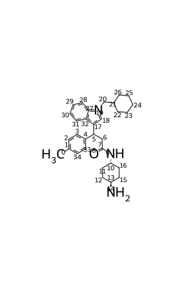 Cc1ccc(C(CC(=O)N[C@H]2CC[C@H](N)CC2)c2cn(CC3CCCCC3)c3ccccc23)cc1